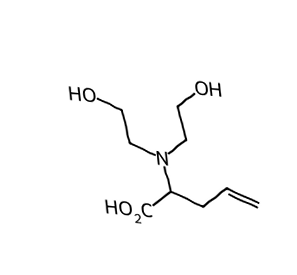 C=CCC(C(=O)O)N(CCO)CCO